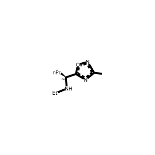 CCC[C@H](NCC)c1nc(C)no1